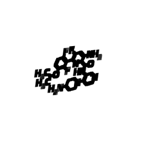 CC(C)Oc1ccc(F)c(-c2nc(C(=O)Nc3cnccc3N3CCC(N)CC3)c(N)cc2F)c1F